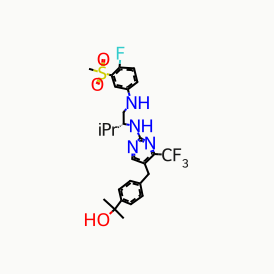 CC(C)[C@H](CNc1ccc(F)c(S(C)(=O)=O)c1)Nc1ncc(Cc2ccc(C(C)(C)O)cc2)c(C(F)(F)F)n1